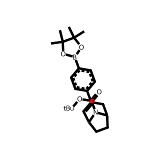 CC(C)(C)OC(=O)N1C2C=C(c3ccc(B4OC(C)(C)C(C)(C)O4)cc3)CC1CC2